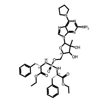 CCOC(=O)[C@H](Cc1ccccc1)NP(=O)(N[C@@H](Cc1ccccc1)C(=O)OCC)OC[C@H]1OC(n2cnc3c(N4CCCC4)nc(N)nc32)C(C)(O)C1O